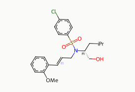 COc1ccccc1/C=C/CN([C@@H](CO)CC(C)C)S(=O)(=O)c1ccc(Cl)cc1